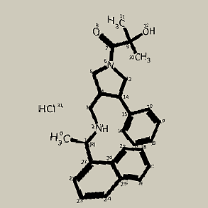 C[C@@H](NCC1CN(C(=O)C(C)(C)O)CC1c1ccccc1)c1cccc2ccccc12.Cl